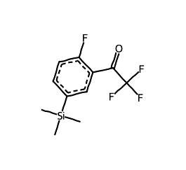 C[Si](C)(C)c1ccc(F)c(C(=O)C(F)(F)F)c1